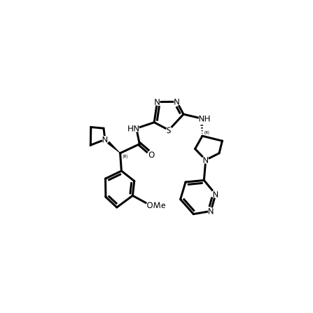 COc1cccc([C@H](C(=O)Nc2nnc(N[C@@H]3CCN(c4cccnn4)C3)s2)N2CCC2)c1